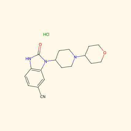 Cl.N#Cc1ccc2[nH]c(=O)n(C3CCN(C4CCOCC4)CC3)c2c1